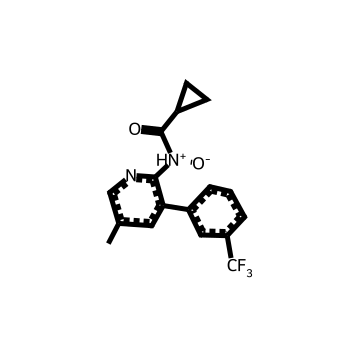 Cc1cnc([NH+]([O-])C(=O)C2CC2)c(-c2cccc(C(F)(F)F)c2)c1